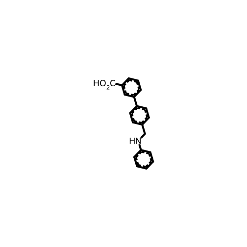 O=C(O)c1cccc(-c2ccc(CNc3ccccc3)cc2)c1